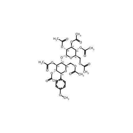 COc1ccc([C@@H]2O[C@H](COC(C)=O)[C@@H](O[C@H]3O[C@H](COC(C)=O)[C@@H](OC(C)=O)[C@H](OC(C)=O)[C@H]3OC(C)=O)[C@H](OC(C)=O)[C@H]2OC(C)=O)cc1